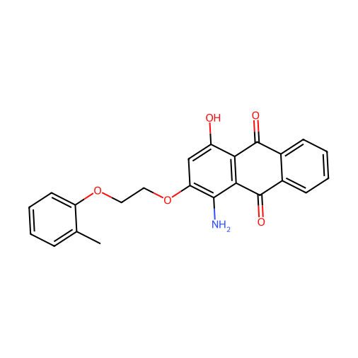 Cc1ccccc1OCCOc1cc(O)c2c(c1N)C(=O)c1ccccc1C2=O